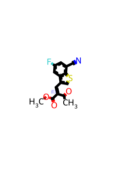 COC(=O)/C(=C/c1csc2c(C#N)cc(F)cc12)C(C)=O